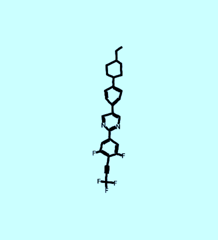 CCC1CCC(c2ccc(-c3cnc(-c4cc(F)c(C#CC(F)(F)F)c(F)c4)nc3)cc2)CC1